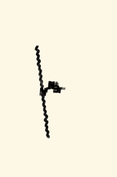 CCCCCCCCCCCCCCCCCCN(CCCCCCCCCCCCCCCCCC)CCC[N+](C)(C)C.[Br-]